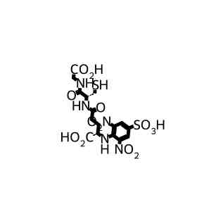 O=C(O)CNC(=O)[C@H](CS)NC(=O)CC[C@H](Nc1c([N+](=O)[O-])cc(S(=O)(=O)O)cc1[N+](=O)[O-])C(=O)O